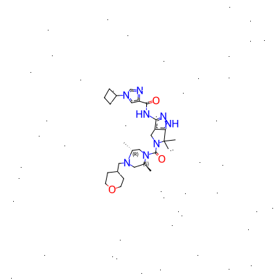 C[C@@H]1CN(C(=O)N2Cc3c(NC(=O)c4cn(C5CCC5)cn4)n[nH]c3C2(C)C)[C@@H](C)CN1CC1CCOCC1